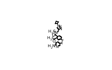 C[C@@H](Oc1cc(I)cnc1N)c1cc(F)ccc1C(=O)N(C)Cc1cn(C2CCC2)nn1